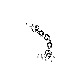 COC(=O)c1ccc(N2CCN(CC3CCN(C(=O)OC(C)(C)C)CC3)CC2)nn1